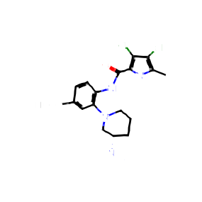 Cc1[nH]c(C(=O)Nc2ccc(C(=O)O)cc2N2CCC[C@H](N)C2)c(Cl)c1Cl